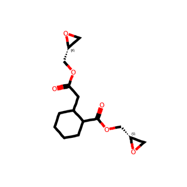 O=C(CC1CCCCC1C(=O)OC[C@@H]1CO1)OC[C@H]1CO1